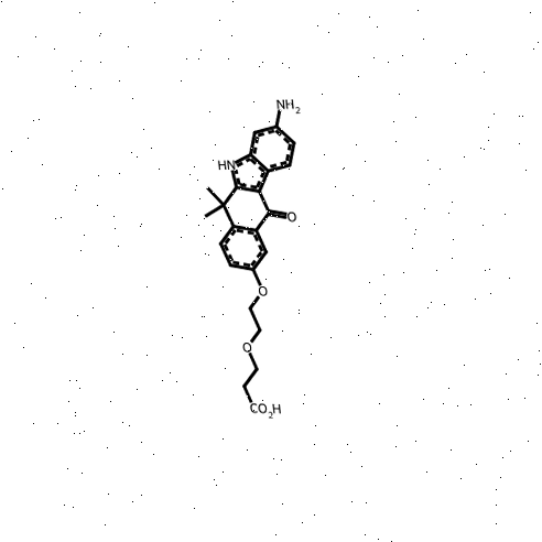 CC1(C)c2ccc(OCCOCCC(=O)O)cc2C(=O)c2c1[nH]c1cc(N)ccc21